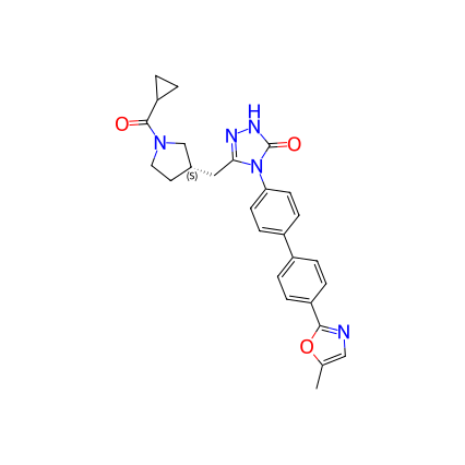 Cc1cnc(-c2ccc(-c3ccc(-n4c(C[C@@H]5CCN(C(=O)C6CC6)C5)n[nH]c4=O)cc3)cc2)o1